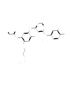 C=CC(=O)Nc1cc(Nc2cc(Nc3ccc(F)c(Cl)c3)ncn2)c(OC)cc1OCCOC